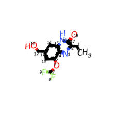 CCc1nc2c(OC(F)F)cc(CO)cc2[nH]c1=O